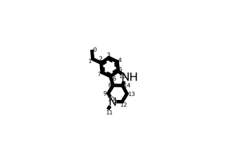 CCc1ccc2c(c1)C1CN(C)CCC1N2